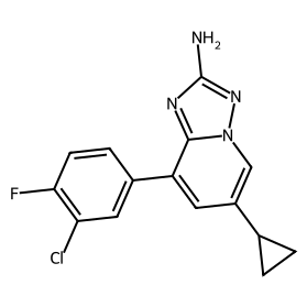 Nc1nc2c(-c3ccc(F)c(Cl)c3)cc(C3CC3)cn2n1